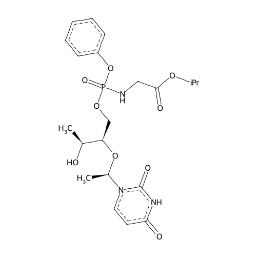 CC(C)OC(=O)CNP(=O)(OC[C@@H](O[C@H](C)n1ccc(=O)[nH]c1=O)[C@H](C)O)Oc1ccccc1